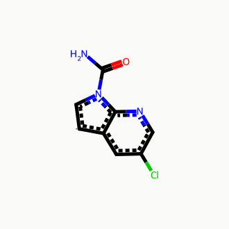 NC(=O)n1c[c]c2cc(Cl)cnc21